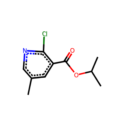 Cc1cnc(Cl)c(C(=O)OC(C)C)c1